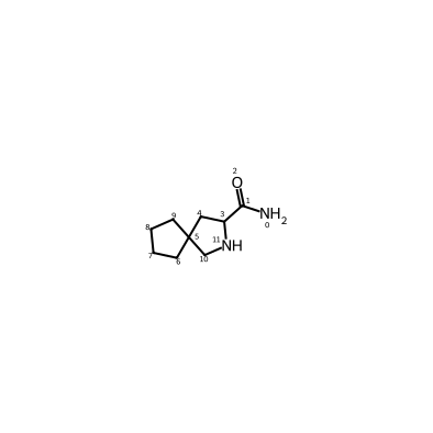 NC(=O)C1CC2(CCCC2)CN1